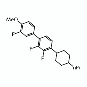 CCCC1CCC(c2ccc(-c3ccc(OC)c(F)c3)c(F)c2F)CC1